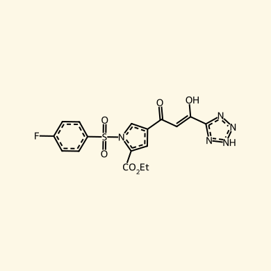 CCOC(=O)c1cc(C(=O)C=C(O)c2nn[nH]n2)cn1S(=O)(=O)c1ccc(F)cc1